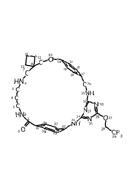 O=C1NCCCNCC2(CCC2)COc2ccc(cc2)CNc2nc(nc(OCC(F)(F)F)n2)Nc2ccc1cc2